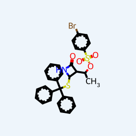 CC(OS(=O)(=O)c1ccc(Br)cc1)C1C(=O)NC1SC(c1ccccc1)(c1ccccc1)c1ccccc1